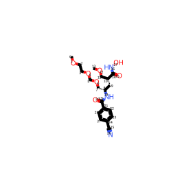 COCCOCOC[C@H](C[C@H](COC)C(=O)NO)NC(=O)c1ccc(C#N)cc1